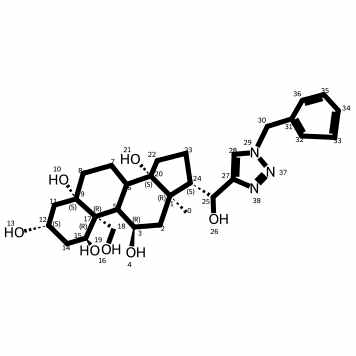 C[C@]12C[C@@H](O)C3C(CC[C@]4(O)C[C@@H](O)C[C@@H](O)[C@]34CO)[C@@]1(O)CC[C@@H]2C(O)c1cn(Cc2ccccc2)nn1